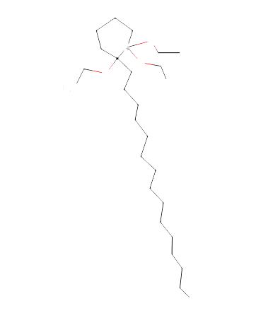 CCCCCCCCCCCCCCCC1(OCC)CCCC[Si]1(OCC)OCC